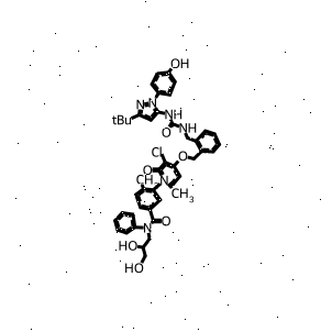 Cc1ccc(C(=O)N(CC(O)CO)c2ccccc2)cc1-n1c(C)cc(OCc2ccccc2CNC(=O)Nc2cc(C(C)(C)C)nn2-c2ccc(O)cc2)c(Cl)c1=O